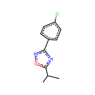 CC(C)c1nc(-c2ccc(Cl)cc2)no1